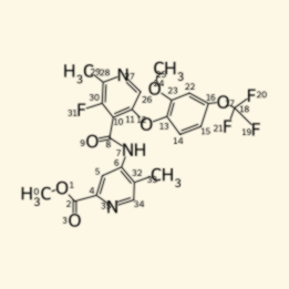 COC(=O)c1cc(NC(=O)c2c(Oc3ccc(OC(F)(F)F)cc3OC)cnc(C)c2F)c(C)cn1